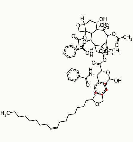 CCCCCCCC/C=C\CCCCCCC[C@@H]1OC[C@H](COC(O)O[C@@H](C(=O)O[C@H]2C[C@@]3(O)[C@@H](OC(=O)c4ccccc4)C4[C@](C)(C(=O)[C@H](OC(C)=O)C(=C2C)C3(C)C)[C@@H](O)C[C@H]2OC[C@@]42OC(C)=O)[C@@H](NC(=O)c2ccccc2)c2ccccc2)O1